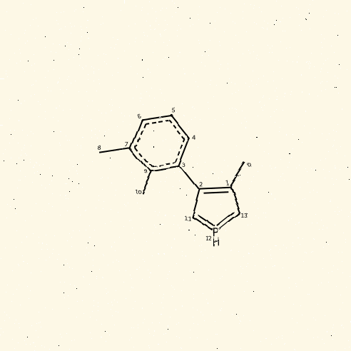 CC1=C(c2cccc(C)c2C)C=[PH]=C1